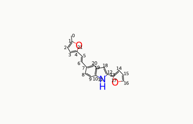 Cc1ccc(C=Cc2ccc3[nH]c(-c4ccco4)cc3c2)o1